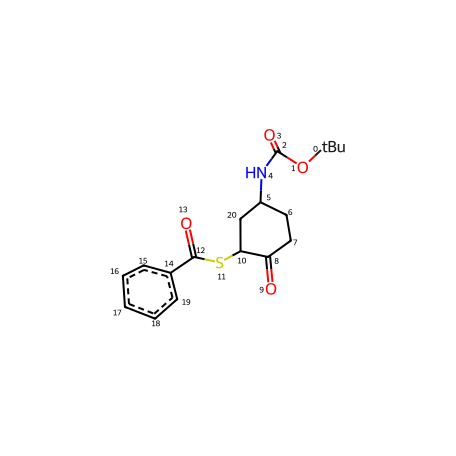 CC(C)(C)OC(=O)NC1CCC(=O)C(SC(=O)c2ccccc2)C1